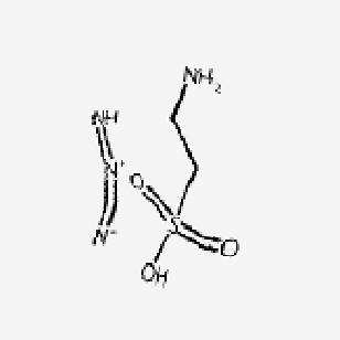 NCCS(=O)(=O)O.[N-]=[N+]=N